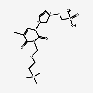 Cc1cn([C@H]2C=C[C@@H](OCP(=O)(O)O)C2)c(=O)n(COCC[Si](C)(C)C)c1=O